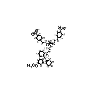 COc1ccc(C(OCCNCP(=O)(OCCc2ccc([N+](=O)[O-])cc2)OCCc2ccc([N+](=O)[O-])cc2)(c2ccccc2)c2ccccc2)cc1